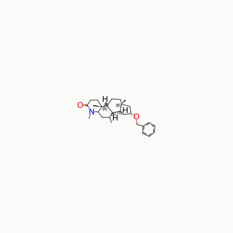 CC1CC2N(C)C(=O)CC[C@]2(C)[C@@H]2CC[C@]3(C)CC(OCc4ccccc4)C[C@H]3[C@H]12